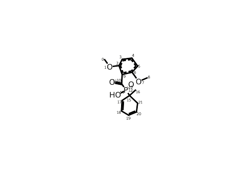 COc1cccc(OC)c1C(=O)P(=O)(O)C1(C)C=CC=CC1